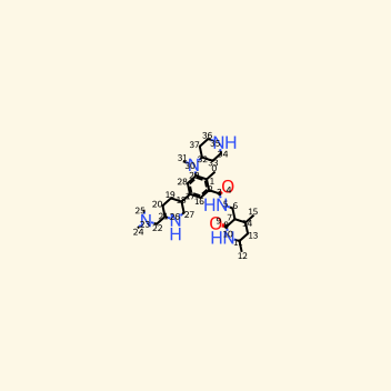 Cc1c(C(=O)NCC2C(=O)NC(C)CC2C)cc(C2CCC(CN(C)C)NC2)cc1N(C)C1CCNCC1